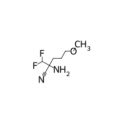 COCCCC(N)(C#N)C(F)F